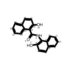 O=C(Nc1c(O)ccc2ccccc12)c1c(O)ccc2ccccc12